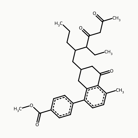 CCCC(CC1CC(=O)c2c(C)ccc(-c3ccc(C(=O)OC)cc3)c2C1)C(CC)C(=O)CC(C)=O